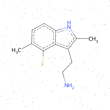 Cc1ccc2[nH]c(C)c(CCN)c2c1F